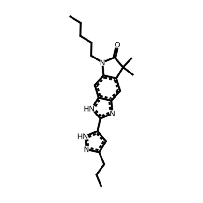 CCCCCN1C(=O)C(C)(C)c2cc3nc(-c4cc(CCC)n[nH]4)[nH]c3cc21